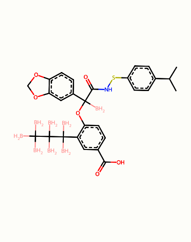 BC(Oc1ccc(C(=O)O)cc1C(B)(B)C(B)(B)C(B)(B)B)(C(=O)NSc1ccc(C(C)C)cc1)c1ccc2c(c1)OCO2